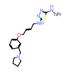 CCCNc1nnc(NCC=CCOc2cccc(CN3CCCC3)c2)s1